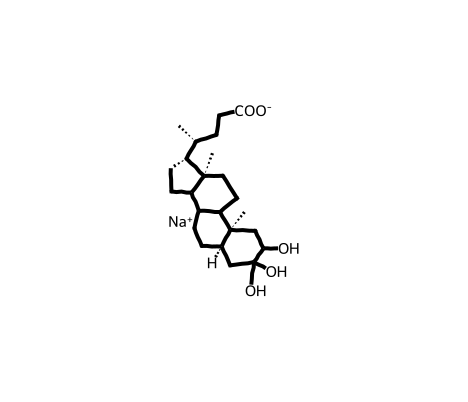 C[C@H](CCC(=O)[O-])[C@H]1CCC2C3CC[C@@H]4CC(O)(O)C(O)C[C@]4(C)C3CC[C@@]21C.[Na+]